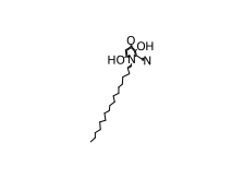 CCCCCCCCCCCCCCCCC=Cn1c(O)cc(=O)c(O)c1C#N